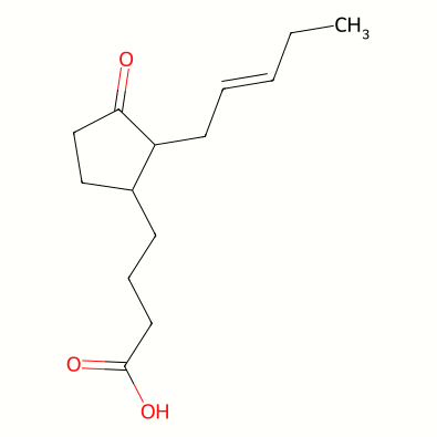 CC/C=C/CC1C(=O)CCC1CCCC(=O)O